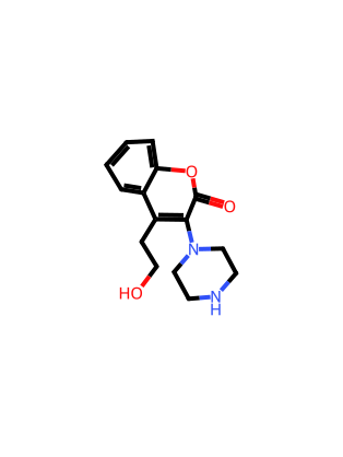 O=c1oc2ccccc2c(CCO)c1N1CCNCC1